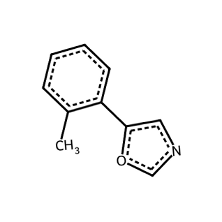 Cc1ccccc1-c1cnco1